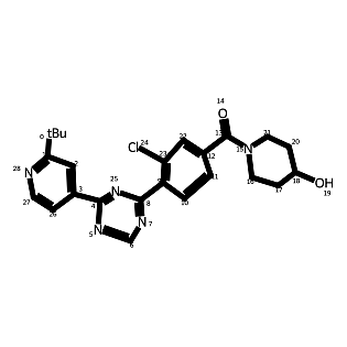 CC(C)(C)c1cc(-c2ncnc(-c3ccc(C(=O)N4CCC(O)CC4)cc3Cl)n2)ccn1